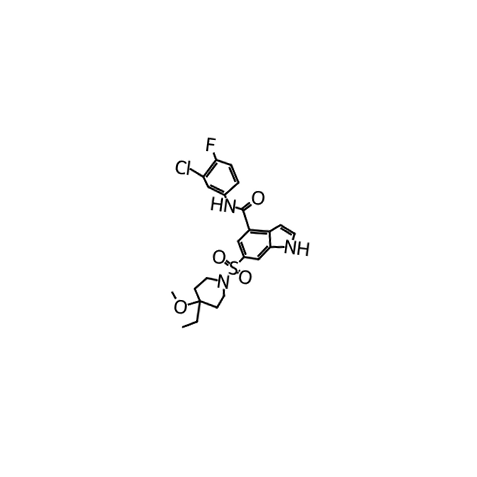 CCC1(OC)CCN(S(=O)(=O)c2cc(C(=O)Nc3ccc(F)c(Cl)c3)c3cc[nH]c3c2)CC1